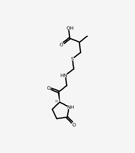 CC(CSCNCC(=O)[C@@H]1CCC(=O)N1)C(=O)O